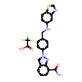 NC(=O)c1cccc2cn(-c3ccc(CNc4ccc5scnc5c4)cc3)nc12.O=C(O)C(F)(F)F